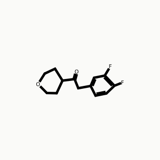 O=C(Cc1ccc(F)c(F)c1)C1CCOCC1